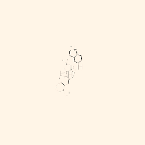 C[C@]12CCC3=CC4=C(CCCC4=O)O[C@H]3[C@@H]1CC(=O)[C@@H]2c1cccc2cnccc12